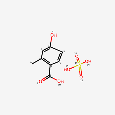 Cc1cc(O)ccc1C(=O)O.O=S(=O)(O)O